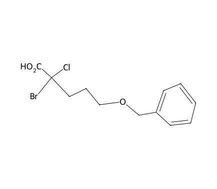 O=C(O)C(Cl)(Br)CCCOCc1ccccc1